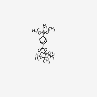 CO[Si](C)(OC)C1CC2CC1CC2C(=O)O[Si](C)(C)C(C)(C)C